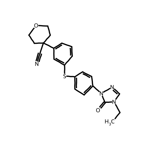 CCn1cnn(-c2ccc(Sc3cccc(C4(C#N)CCOCC4)c3)cc2)c1=O